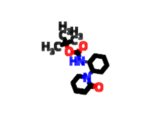 CC(C)(C)OC(=O)N[C@@H]1CCCC[C@H]1N1CCC=CC1=O